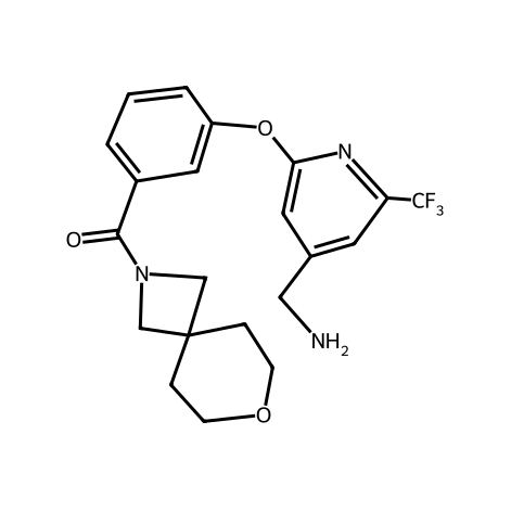 NCc1cc(Oc2cccc(C(=O)N3CC4(CCOCC4)C3)c2)nc(C(F)(F)F)c1